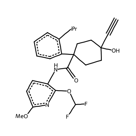 C#CC1(O)CCC(C(=O)Nc2ccc(OC)nc2OC(F)F)(c2ccccc2C(C)C)CC1